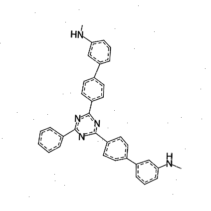 CNc1cccc(-c2ccc(-c3nc(-c4ccccc4)nc(-c4ccc(-c5cccc(NC)c5)cc4)n3)cc2)c1